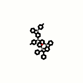 Cc1ccc(N(c2ccc(-n3c4ccccc4c4ccc5c(-c6ccccc6)c(-c6ccccc6)n(-c6ccccc6)c5c43)cc2)c2ccc3c(c2)c2ccccc2n3-c2ccc(C)cc2)cc1